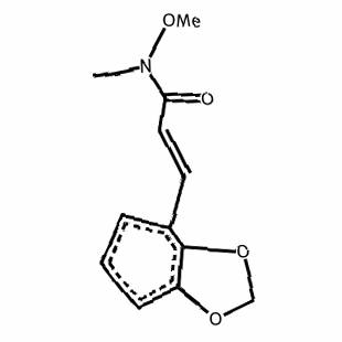 CON(C)C(=O)C=Cc1cccc2c1OCO2